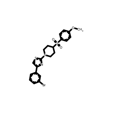 COc1ccc(S(=O)(=O)C2CCN(c3nc(-c4cccc(Br)c4)cs3)CC2)cc1